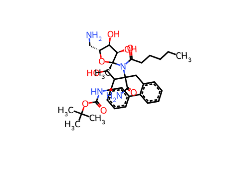 CCCCCC(=O)N(C(Cc1ccccc1-c1ccccc1)(C(N)=O)C(CO)CNC(=O)OC(C)(C)C)[C@]1(C)O[C@H](CN)[C@@H](O)[C@H]1O